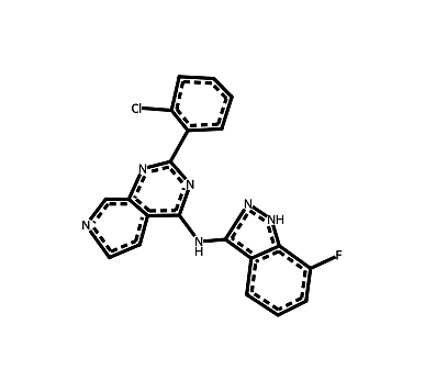 Fc1cccc2c(Nc3nc(-c4ccccc4Cl)nc4cnccc34)n[nH]c12